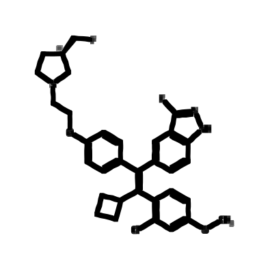 COc1ccc(C(=C(c2ccc(OCCN3CC[C@@H](CF)C3)cc2)c2ccc3[nH]nc(F)c3c2)C2CCC2)c(Cl)c1